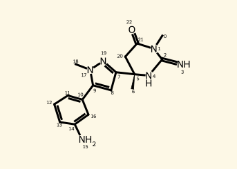 CN1C(=N)N[C@](C)(c2cc(-c3cccc(N)c3)n(C)n2)CC1=O